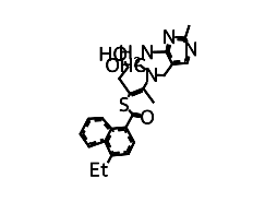 CCc1ccc(C(=O)SC(CCO)=C(C)N(C=O)Cc2cnc(C)nc2N)c2ccccc12